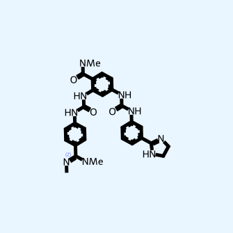 C/N=C(\NC)c1ccc(NC(=O)Nc2cc(NC(=O)Nc3cccc(C4=NCCN4)c3)ccc2C(=O)NC)cc1